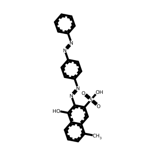 Cc1cccc2c(O)c(N=Nc3ccc(N=Nc4ccccc4)cc3)c(S(=O)(=O)O)cc12